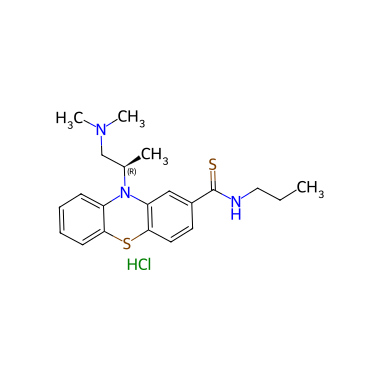 CCCNC(=S)c1ccc2c(c1)N([C@H](C)CN(C)C)c1ccccc1S2.Cl